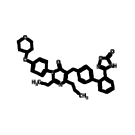 CCCc1nc(CC)n(-c2ccc(OC3CCOCC3)cc2)c(=O)c1Cc1ccc(-c2ccccc2-c2noc(=O)[nH]2)cc1